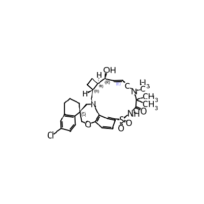 CN1C/C=C/[C@H](O)[C@@H]2CC[C@H]2CN2C[C@@]3(CCCc4cc(Cl)ccc43)COc3ccc(cc32)S(=O)(=O)NC(=O)C1(C)C